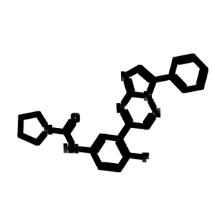 O=C(Nc1ccc(F)c(-c2cnn3c(-c4ccccc4)cnc3n2)c1)N1CCCC1